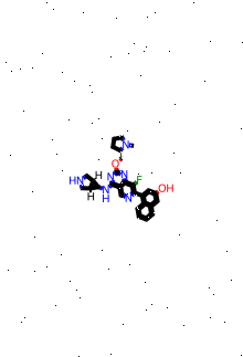 CN1CCC[C@H]1COc1nc(NC2[C@@H]3CNC[C@@H]23)c2cnc(-c3cc(O)cc4ccccc34)c(F)c2n1